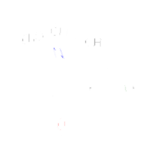 Cc1cc(F)cc2c1N(C)C(CC=O)=CC2=C=O